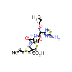 C=CCON=C(C(=O)NC1C(=O)N2CC(CSC=CC#N)(C(=O)O)CS[C@H]12)c1nsc(N)n1